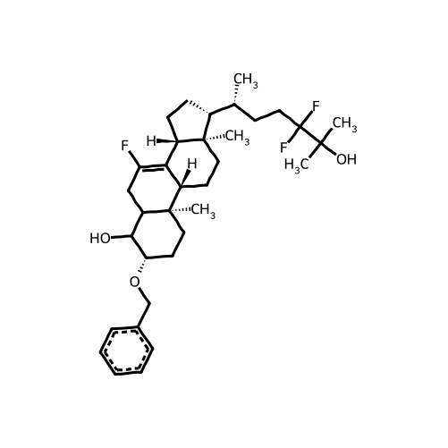 C[C@H](CCC(F)(F)C(C)(C)O)[C@H]1CC[C@H]2C3=C(F)CC4C(O)[C@@H](OCc5ccccc5)CC[C@]4(C)[C@H]3CC[C@]12C